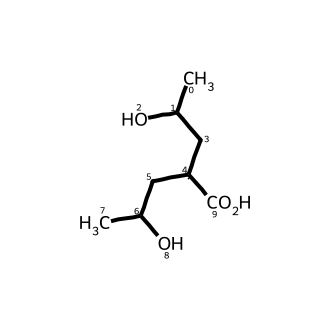 CC(O)C[C](CC(C)O)C(=O)O